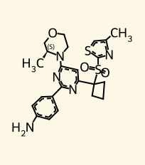 Cc1csc(S(=O)(=O)C2(c3cc(N4CCOC[C@@H]4C)nc(-c4ccc(N)cc4)n3)CCC2)n1